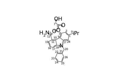 CC(C)c1cc(OC(=O)CO)c2c3c(C(N)=O)cccc3n(Cc3ccccc3)c2c1